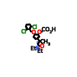 CCN(CC)C(=O)/C=C(\C)c1ccc(OCc2c(Cl)cccc2Cl)c(OCC(=O)O)c1